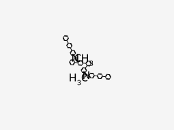 CN(c1ccc(-c2ccc(-c3ccccc3)cc2)cc1)c1cccc(-c2ccccc2-c2ccc(-c3ccccc3N(C)c3ccc(-c4ccc(-c5ccccc5)cc4)cc3)cc2)c1